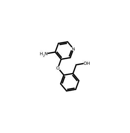 Nc1ccncc1Oc1ccccc1CO